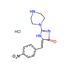 Cl.O=C1N=C(N2CCNCC2)NC1=Cc1ccc([N+](=O)[O-])cc1